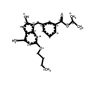 CCCCOc1nc(N)c2nc(O)n(Cc3cccc(C(=O)OC(C)C)c3)c2n1